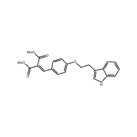 COC(=O)C(=Cc1ccc(OCCc2c[nH]c3ccccc23)cc1)C(=O)OC